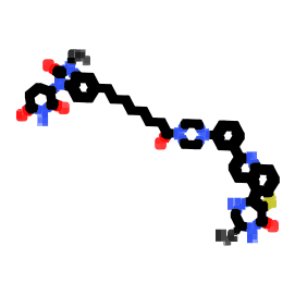 C[C@@H]1CNc2c(sc3ccc4nc(-c5cccc(N6CCN(C(=O)CCCCCCCc7ccc8c(c7)n(C)c(=O)n8C7CCC(=O)NC7=O)CC6)c5)ccc4c23)C(=O)N1